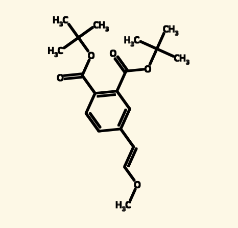 COC=Cc1ccc(C(=O)OC(C)(C)C)c(C(=O)OC(C)(C)C)c1